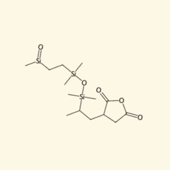 CC(CC1CC(=O)OC1=O)[Si](C)(C)O[Si](C)(C)CC[Si](C)=O